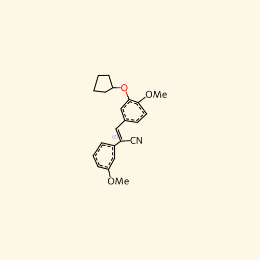 COc1cccc(/C(C#N)=C/c2ccc(OC)c(OC3CCCC3)c2)c1